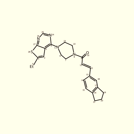 CCc1cc2c(N3CCN(C(=O)C=Cc4ccc5c(c4)CCC5)CC3)ncnc2s1